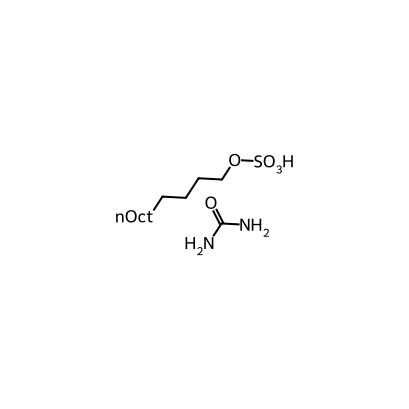 CCCCCCCCCCCCOS(=O)(=O)O.NC(N)=O